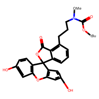 CON(CCCc1cccc2c1C(=O)OC21c2ccc(O)cc2Oc2cc(O)ccc21)C(=O)OC(C)(C)C